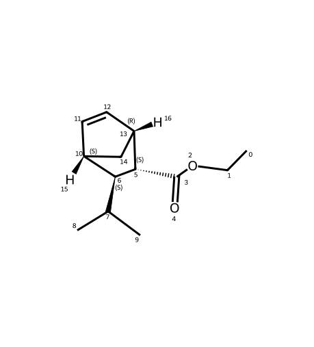 CCOC(=O)[C@@H]1[C@@H](C(C)C)[C@@H]2C=C[C@H]1C2